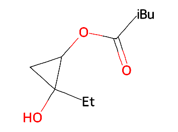 CCC(C)C(=O)OC1CC1(O)CC